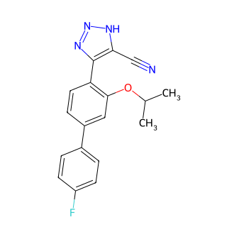 CC(C)Oc1cc(-c2ccc(F)cc2)ccc1-c1nn[nH]c1C#N